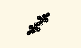 Cc1ccccc1N(c1cccc2c1oc1ccccc12)c1cc2oc3cc4c(cc3c2c2c1oc1ccccc12)oc1cc(N(c2ccccc2C)c2cccc3c2oc2ccccc23)c2oc3ccccc3c2c14